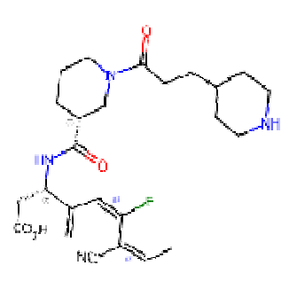 C=C(/C=C(F)\C(C#N)=C/C)[C@H](CC(=O)O)NC(=O)[C@@H]1CCCN(C(=O)CCC2CCNCC2)C1